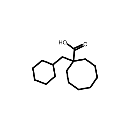 O=C(O)C1(CC2CCCCC2)CCCCCCC1